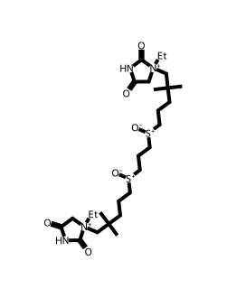 CC[N+]1(CC(C)(C)CCC[S+]([O-])CCC[S+]([O-])CCCC(C)(C)C[N+]2(CC)CC(=O)NC2=O)CC(=O)NC1=O